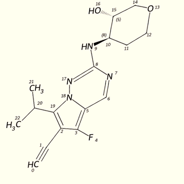 C#Cc1c(F)c2cnc(N[C@@H]3CCOC[C@H]3O)nn2c1C(C)C